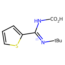 CC(C)(C)/N=C(\NC(=O)O)c1cccs1